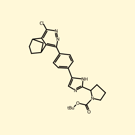 CC(C)(C)OC(=O)N1CCCC1c1ncc(-c2ccc(-c3nnc(Cl)c4c3C3CCC4C3)cc2)[nH]1